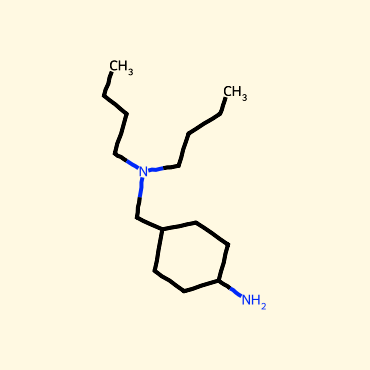 CCCCN(CCCC)CC1CCC(N)CC1